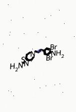 Nc1nc2c(s1)CCN(C/C=C/c1cc(Br)c(N)c(Br)c1)CC2